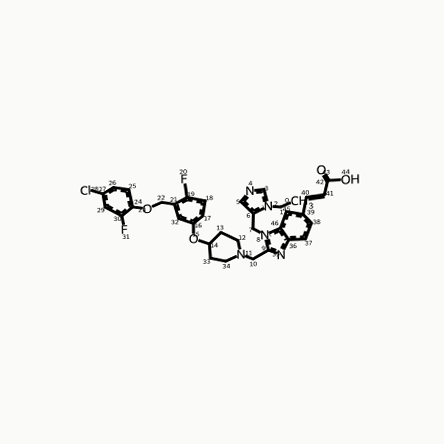 CCn1cncc1Cn1c(CN2CCC(Oc3ccc(F)c(COc4ccc(Cl)cc4F)c3)CC2)nc2ccc(/C=C/C(=O)O)cc21